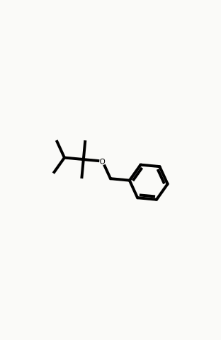 CC(C)C(C)(C)OCc1ccccc1